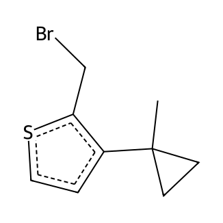 CC1(c2ccsc2CBr)CC1